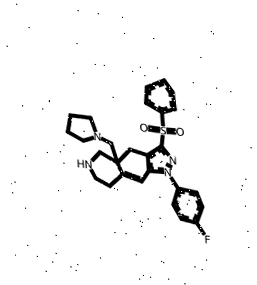 O=S(=O)(c1ccccc1)c1nn(-c2ccc(F)cc2)c2c1CC1(CN3CCCC3)CNCCC1=C2